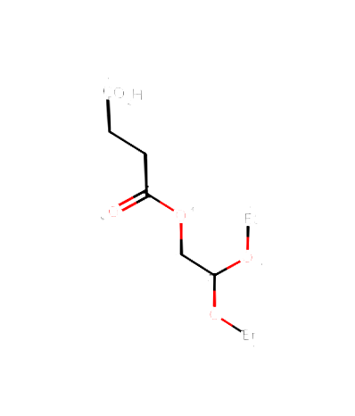 CCOC(COC(=O)CCC(=O)O)OCC